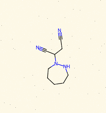 N#CCC(C#N)N1CCCCCN1